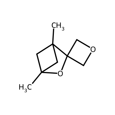 CC12CC(C)(C1)C1(COC1)O2